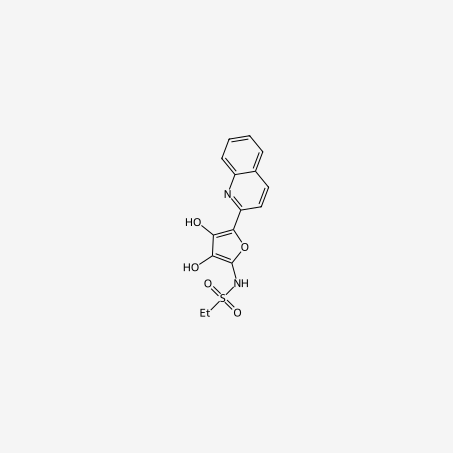 CCS(=O)(=O)Nc1oc(-c2ccc3ccccc3n2)c(O)c1O